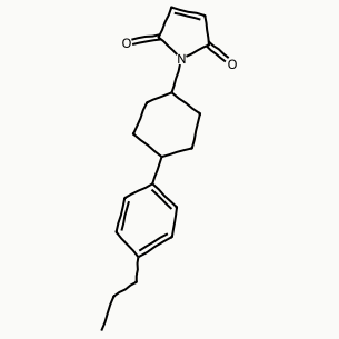 CCCc1ccc(C2CCC(N3C(=O)C=CC3=O)CC2)cc1